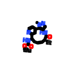 CC[C@@H]1C=CCC(NC(=O)OC(C)(C)C)c2cc(ccn2)-c2c(cnn2C)NC1=O